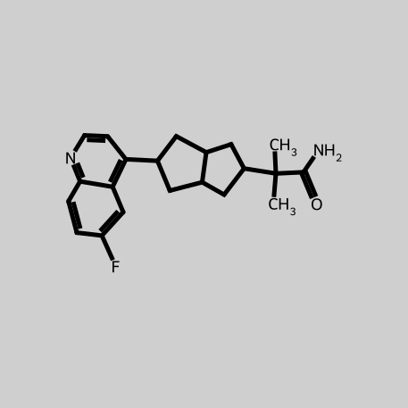 CC(C)(C(N)=O)C1CC2CC(c3ccnc4ccc(F)cc34)CC2C1